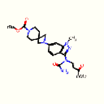 COC(=O)CCN(C(N)=O)c1nn(C)c2cc(N3CC4(CCN(C(=O)OC(C)(C)C)CC4)C3)ccc12